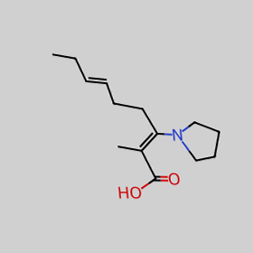 CCC=CCCC(=C(C)C(=O)O)N1CCCC1